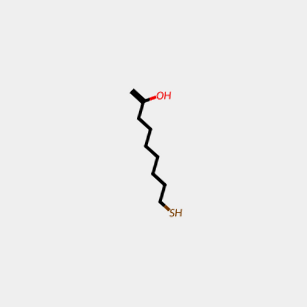 C=C(O)CCCCCCCS